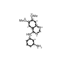 Bc1cccc(Nc2ncnc3cc(OC)c(OC)cc23)c1